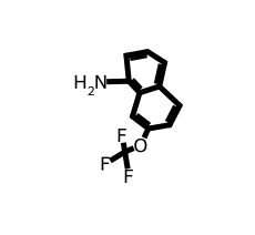 Nc1cccc2ccc(OC(F)(F)F)cc12